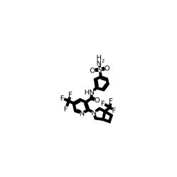 NS(=O)(=O)c1cccc(NC(=O)c2cc(C(F)(F)F)cnc2N2CC3CCC3(C(F)(F)F)C2)c1